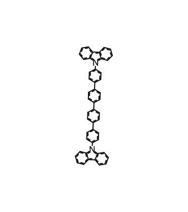 c1ccc2c(c1)c1ccccc1n2-c1ccc(-c2ccc(-c3ccc(-c4ccc(-n5c6ccccc6c6ccccc65)cc4)cc3)cc2)cc1